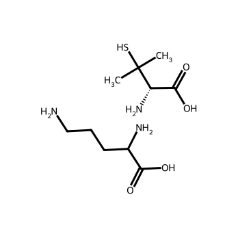 CC(C)(S)[C@@H](N)C(=O)O.NCCCC(N)C(=O)O